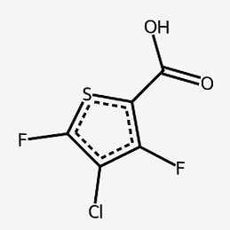 O=C(O)c1sc(F)c(Cl)c1F